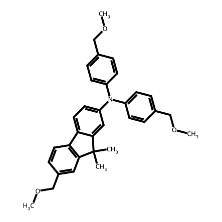 COCc1ccc(N(c2ccc(COC)cc2)c2ccc3c(c2)C(C)(C)c2cc(COC)ccc2-3)cc1